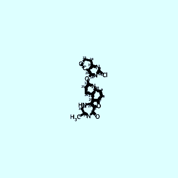 CC1=NC(=O)c2oc3ccc4nc(Oc5nc(Cl)nc6c5COCC6)ccc4c3c2NC1